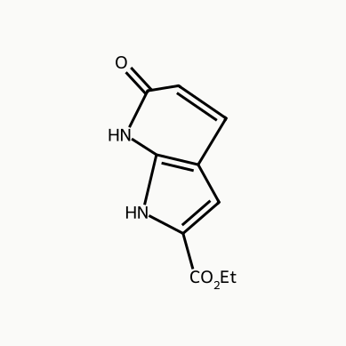 CCOC(=O)c1cc2ccc(=O)[nH]c2[nH]1